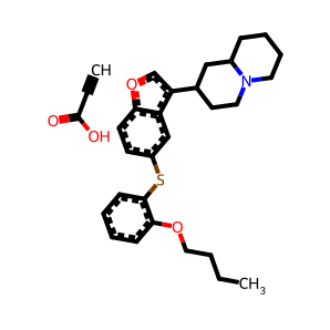 C#CC(=O)O.CCCCOc1ccccc1Sc1ccc2occ(C3CCN4CCCCC4C3)c2c1